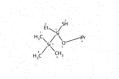 CC[Si](S)(OC(C)C)[Si](C)(C)C